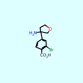 NC1(c2ccc(C(=O)O)c(Br)c2)CCOC1